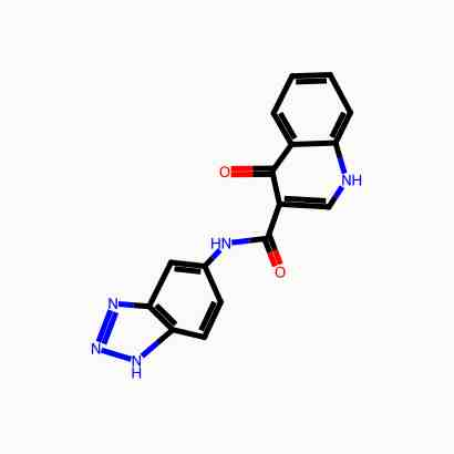 O=C(Nc1ccc2[nH]nnc2c1)c1c[nH]c2ccccc2c1=O